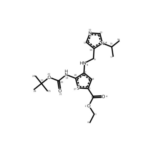 CCOC(=O)c1cc(NCc2cncn2C(C)C)c(NC(=O)OC(C)(C)C)s1